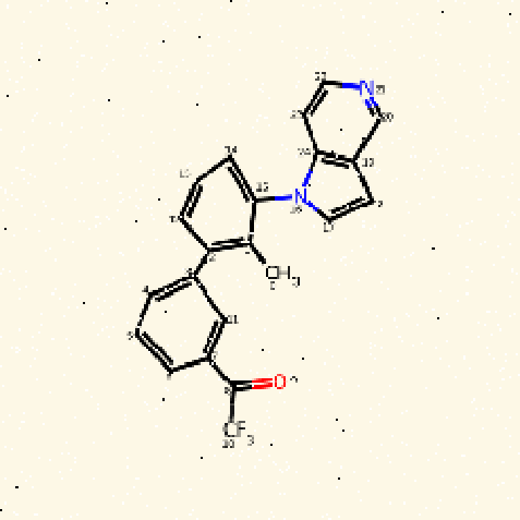 Cc1c(-c2cccc(C(=O)C(F)(F)F)c2)cccc1-n1ccc2cnccc21